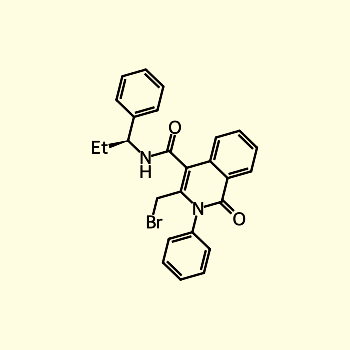 CC[C@H](NC(=O)c1c(CBr)n(-c2ccccc2)c(=O)c2ccccc12)c1ccccc1